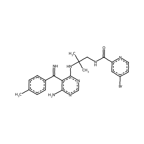 Cc1ccc(C(=N)c2c(N)ncnc2NC(C)(C)CNC(=O)c2cc(Br)ccn2)cc1